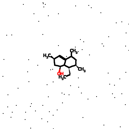 CC[C@@H]1C2C(=C[C@H](C)C[C@@H]2O)C(C)C[C@@H]1C